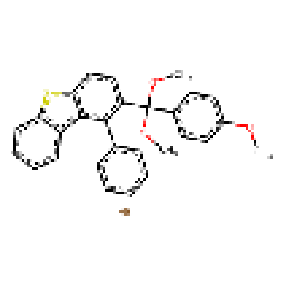 Br.COc1ccc(C(OC)(OC)c2ccc3sc4ccccc4c3c2-c2ccccc2)cc1